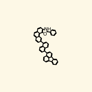 c1ccc(C2Nc3ccc4ccc5ccc(-c6cccc7c(-c8ccc9c%10c(cccc8%10)-c8ccccc8-9)cccc67)cc5c4c3O2)cc1